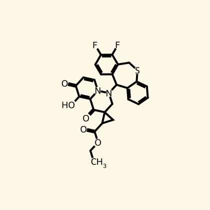 CCOC(=O)C1CC12CN(C1c3ccccc3SCc3c1ccc(F)c3F)n1ccc(=O)c(O)c1C2=O